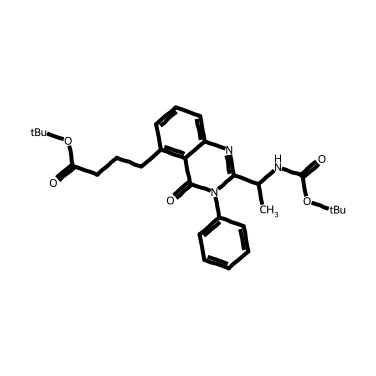 CC(NC(=O)OC(C)(C)C)c1nc2cccc(CCCC(=O)OC(C)(C)C)c2c(=O)n1-c1ccccc1